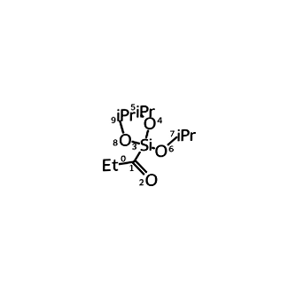 CCC(=O)[Si](OC(C)C)(OC(C)C)OC(C)C